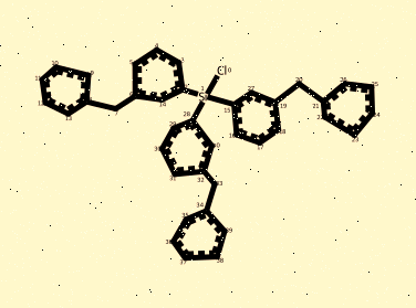 Cl[Si](c1cccc(Cc2ccccc2)c1)(c1cccc(Cc2ccccc2)c1)c1cccc(Cc2ccccc2)c1